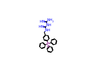 N=C(N)NC(=N)NCc1ccc([PH](c2ccccc2)(c2ccccc2)c2ccccc2)cc1